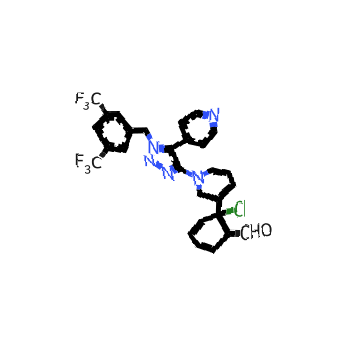 O=CC1C=CC=CC1(Cl)C1=CC=CN(c2nnn(Cc3cc(C(F)(F)F)cc(C(F)(F)F)c3)c2-c2ccncc2)C1